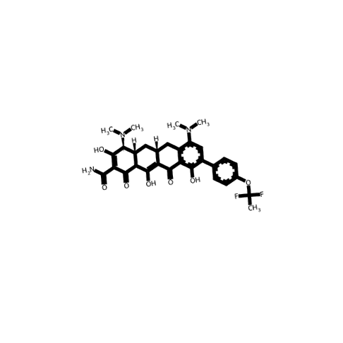 CN(C)c1cc(-c2ccc(OC(C)(F)F)cc2)c(O)c2c1C[C@H]1C[C@@H]3C(C(=O)C(C(N)=O)=C(O)[C@H]3N(C)C)C(O)=C1C2=O